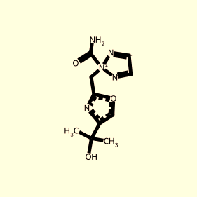 CC(C)(O)c1coc(C[N+]2(C(N)=O)N=[C]C=N2)n1